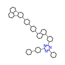 c1ccc(-c2ccc(-c3nc(-c4ccccc4)nc(-c4cccc(-c5cccc6c(-c7ccc(-c8ccc(-c9ccc%10c(c9)-c9cccc%11cccc-%10c9%11)cc8)cc7)cccc56)c4)n3)cc2)cc1